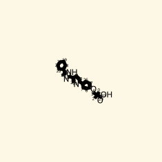 CC(C)(COc1ccc(-c2ccc(-c3ncc(C4CCCCC4)[nH]3)cn2)cc1)C(=O)O